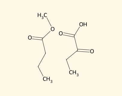 CCC(=O)C(=O)O.CCCC(=O)OC